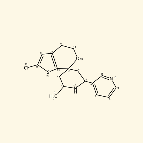 CC1CC2(CC(c3cccnc3)N1)OCCc1cc(Cl)sc12